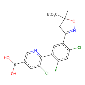 CCOC(=O)C1(C)CC(c2cc(-c3ncc(B(O)O)cc3Cl)c(F)cc2Cl)=NO1